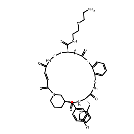 NCCOCCNC(=O)[C@@H]1CCNC(=O)/C=C/C(=O)N2CCC[C@@](Cc3ccc(Cl)cc3)(C2)C(=O)N[C@@H](Cc2ccco2)C(=O)NCc2ccccc2CC(=O)N1